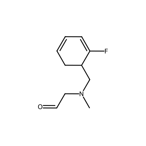 CN(CC=O)CC1CC=CC=C1F